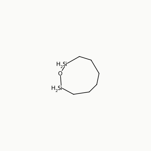 C1CCC[SiH2]O[SiH2]CC1